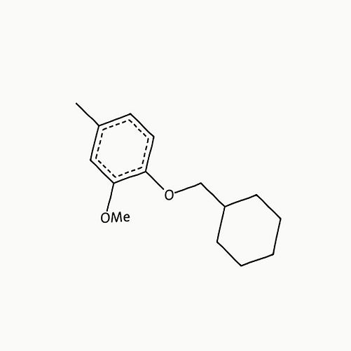 COc1cc(C)ccc1OCC1CCCCC1